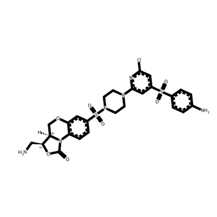 NC[C@@H]1OC(=O)N2c3ccc(S(=O)(=O)N4CCN(c5cc(S(=O)(=O)c6ccc(N)cc6)cc(Cl)n5)CC4)cc3OC[C@H]12